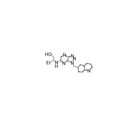 CCC(CO)Nc1cnc2nnn(Cc3ccc4ncccc4c3)c2n1